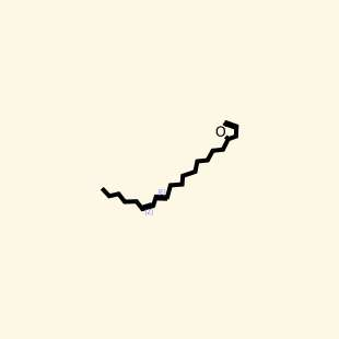 CCCCC/C=C\C=C\CCCCCCCCC1CC=CO1